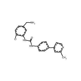 Cc1cc(-c2ccc(NC(=O)Nc3cc(CN)ccc3Cl)cc2)ccn1